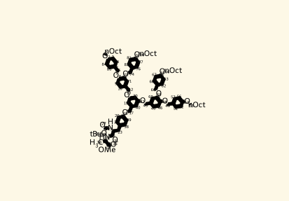 CCCCCCCCOc1ccc(COc2ccc(COc3cc(COc4ccc(CC(NC(=O)OC(C)(C)C)C(=O)NC(C)C(=O)OC)cc4)cc(OCc4ccc(OCc5ccc(OCCCCCCCC)cc5)c(OCc5ccc(OCCCCCCCC)cc5)c4)c3)cc2OCc2ccc(OCCCCCCCC)cc2)cc1